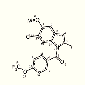 COc1cc2[c]c(C)n(C(=O)c3ccc(OC(F)(F)F)cc3)c2cc1Cl